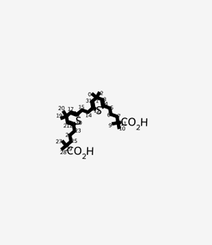 CC1(C)C=C(CCCC(C)(C)C(=O)O)SC(CCC2=CC(C)(C)C=C(CCCC(C)(C)C(=O)O)S2)=C1